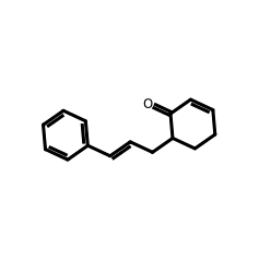 O=C1C=CCCC1CC=Cc1ccccc1